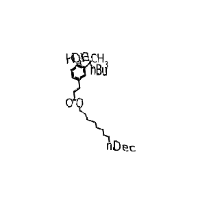 CCCCCCCCCCCCCCCCCCOC(=O)CCc1ccc(O)c(C(C)(C)CCCC)c1